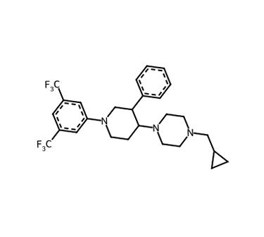 FC(F)(F)c1cc(N2CCC(N3CCN(CC4CC4)CC3)C(c3ccccc3)C2)cc(C(F)(F)F)c1